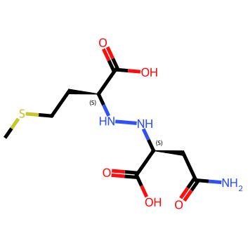 CSCC[C@H](NN[C@@H](CC(N)=O)C(=O)O)C(=O)O